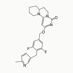 Cc1ccc(Cc2c(F)cc(COc3cc4n(c(=O)n3)CCC3CCCCN43)cc2F)cn1